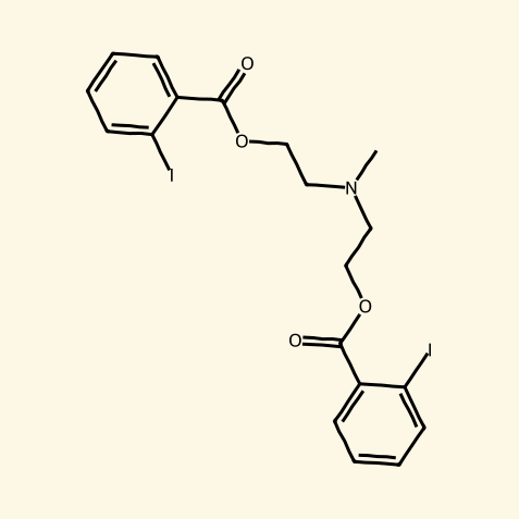 CN(CCOC(=O)c1ccccc1I)CCOC(=O)c1ccccc1I